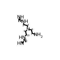 N=NNCCN(CCN)CCNN=N